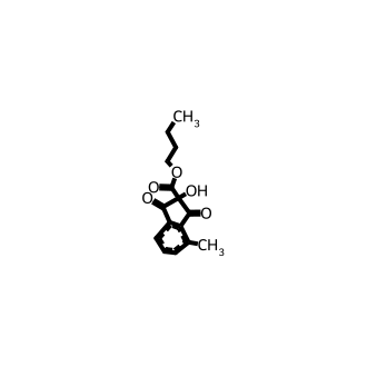 CCCCOC(=O)C1(O)C(=O)c2cccc(C)c2C1=O